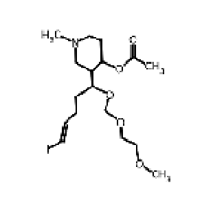 COCCOCOC(CCC=CI)C1CN(C)CCC1OC(C)=O